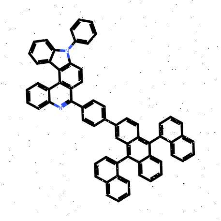 c1ccc(-n2c3ccccc3c3c4c(ccc32)c(-c2ccc(-c3ccc5c(-c6cccc7ccccc67)c6ccccc6c(-c6cccc7ccccc67)c5c3)cc2)nc2ccccc24)cc1